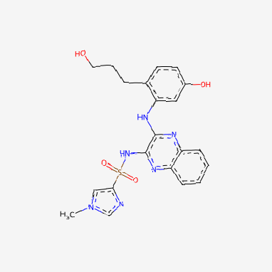 Cn1cnc(S(=O)(=O)Nc2nc3ccccc3nc2Nc2cc(O)ccc2CCCO)c1